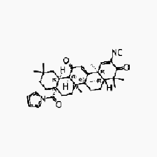 [C-]#[N+]C1=C[C@]2(C)C3=CC(=O)[C@@H]4[C@@H]5CC(C)(C)CC[C@]5(C(=O)n5cccc5)CC[C@@]4(C)[C@]3(C)CC[C@H]2C(C)(C)C1=O